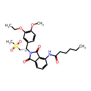 CCCCCC(=O)Nc1cccc2c1C(=O)N([C@H](CS(C)(=O)=O)c1ccc(OC)c(OCC)c1)C2=O